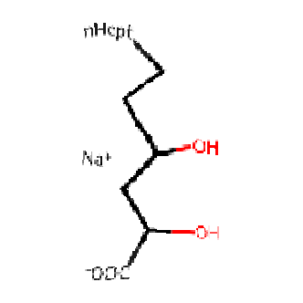 CCCCCCCCCC(O)CC(O)C(=O)[O-].[Na+]